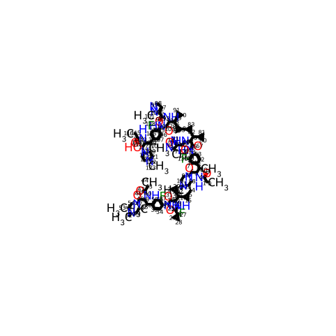 CCC(=O)N[C@@H](C(=O)N1CCN(C)[C@H](CC2CC2C(C2CC2)[C@H](NC(=O)C2(F)CC2)C(=O)Nc2ccc([C@H](C)[C@@H](NC(=O)CC)C(=O)N3CCN(C)[C@H](C)C3)cc2F)C1)[C@@H](C)c1ccc(NC(=O)[C@@H](NC(=O)c2nonc2C)C(C2CC2)C2CC2C2CC2C(C2CC2)[C@H](NC(=O)c2ccnn2C)C(=O)Nc2ccc([C@H](C)[C@@H](NC(=O)CC)C(O)N3CCN(C)CC3)cc2F)c(F)c1